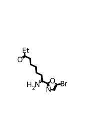 CCC(=O)CCCCC[C@H](N)c1ncc(Br)o1